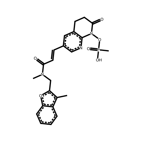 Cc1c(CN(C)C(=O)/C=C/c2cnc3c(c2)CCC(=O)N3OP(C)(=O)O)oc2ccccc12